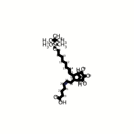 CC(C)(C)[Si](C)(C)OCCCCCCC=CC1C(C/C=C\CCCC(=O)O)[C@H]2C[C@H]1C(=O)C(=O)C2=O